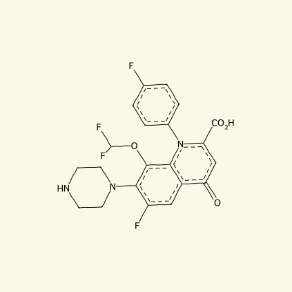 O=C(O)c1cc(=O)c2cc(F)c(N3CCNCC3)c(OC(F)F)c2n1-c1ccc(F)cc1